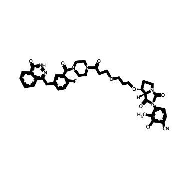 Cc1c(N2C(=O)[C@@H]3[C@H](OCCCOCCC(=O)N4CCN(C(=O)c5cc(Cc6n[nH]c(=O)c7ccccc67)ccc5F)CC4)CCN3C2=O)ccc(C#N)c1Cl